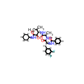 CC(C)[C@H](NC(=O)[C@H](C)NC(=O)[C@@H](Cc1ccc(F)c(F)c1)NC(=O)c1ccccc1)C(=O)C(=O)NC1CCCCC1